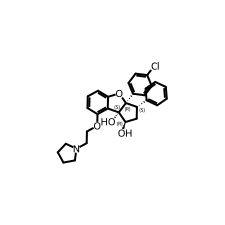 O[C@@H]1C[C@@H](c2ccccc2)[C@]2(c3ccc(Cl)cc3)Oc3cccc(OCCN4CCCC4)c3[C@]12O